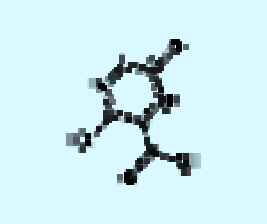 Cc1ncc(=O)[nH]c1C(=O)O